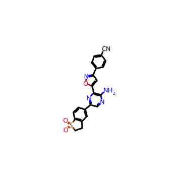 N#Cc1ccc(-c2cc(-c3nc(-c4ccc5c(c4)CCS5(=O)=O)cnc3N)on2)cc1